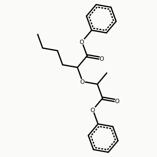 CCCCC(OC(C)C(=O)Oc1ccccc1)C(=O)Oc1ccccc1